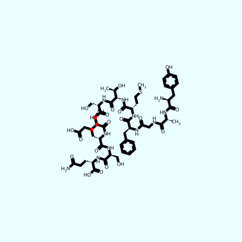 CSCC[C@H](NC(=O)[C@H](Cc1ccccc1)NC(=O)CNC(=O)[C@@H](C)NC(=O)[C@@H](N)Cc1ccc(O)cc1)C(=O)N[C@H](C(=O)N[C@@H](CO)C(=O)N[C@@H](CCC(=O)O)C(=O)N[C@@H](CCCCN)C(=O)N[C@@H](CO)C(=O)N[C@@H](CCC(N)=O)C(=O)O)[C@@H](C)O